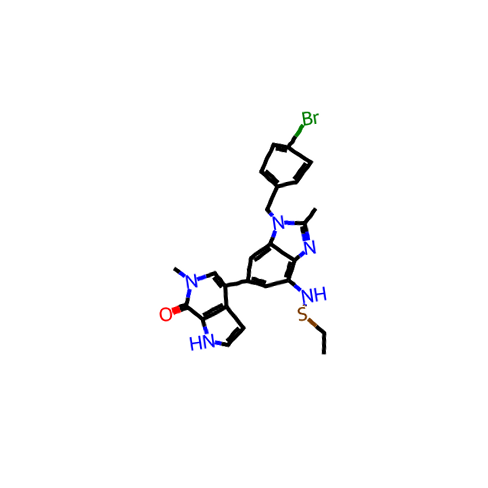 CCSNc1cc(-c2cn(C)c(=O)c3[nH]ccc23)cc2c1nc(C)n2Cc1ccc(Br)cc1